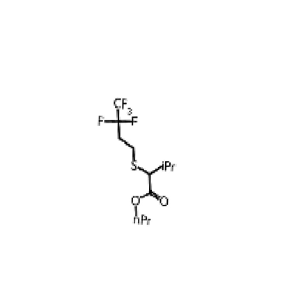 CCCOC(=O)C(SCCC(F)(F)C(F)(F)F)C(C)C